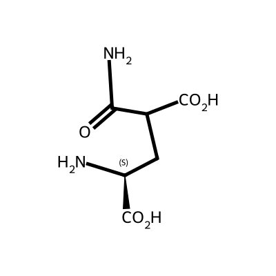 NC(=O)C(C[C@H](N)C(=O)O)C(=O)O